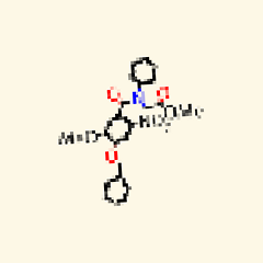 COC(=O)CN(C(=O)c1cc(OC)c(OCc2ccccc2)cc1[N+](=O)[O-])c1ccccc1